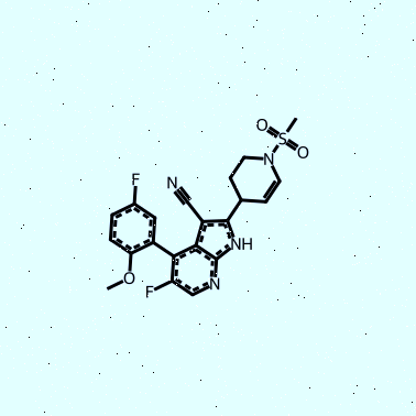 COc1ccc(F)cc1-c1c(F)cnc2[nH]c(C3C=CN(S(C)(=O)=O)CC3)c(C#N)c12